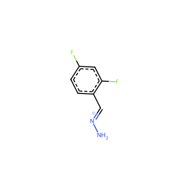 N/N=C/c1ccc(F)cc1F